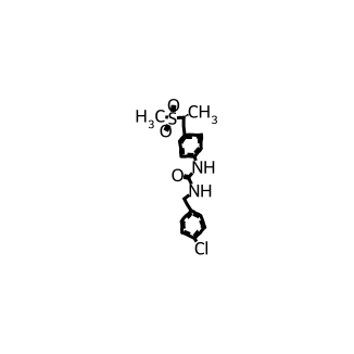 C[C@H](c1ccc(NC(=O)NCc2ccc(Cl)cc2)cc1)S(C)(=O)=O